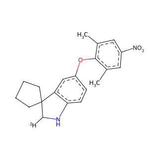 [2H]C1Nc2ccc(Oc3c(C)cc([N+](=O)[O-])cc3C)cc2C12CCCC2